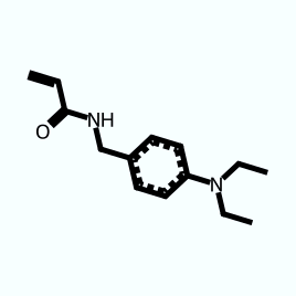 C=CC(=O)NCc1ccc(N(CC)CC)cc1